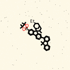 CCC1CC2CC(C)C3(c4cc(B5OC(C)(C)C(C)(C)O5)ccc4-c4ccc(-c5cccc6c5C(C)(C)c5ccccc5-6)cc43)C(C1)C2